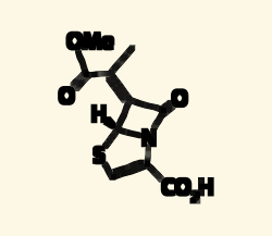 COC(=O)/C(C)=C1/C(=O)N2C(C(=O)O)=CS[C@H]12